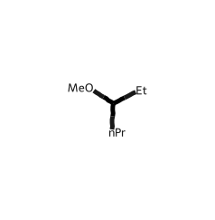 CCCC(CC)OC